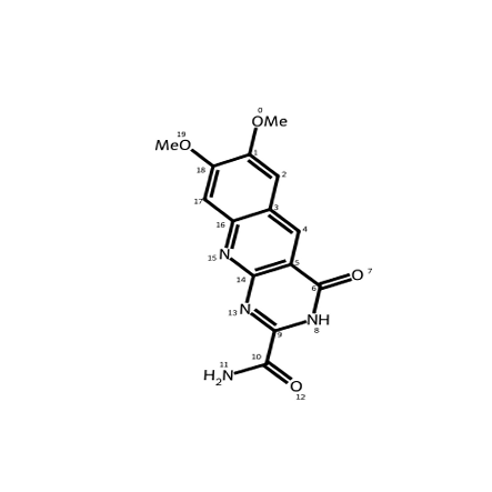 COc1cc2cc3c(=O)[nH]c(C(N)=O)nc3nc2cc1OC